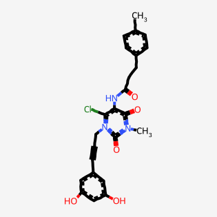 Cc1ccc(CCC(=O)Nc2c(Cl)n(CC#Cc3cc(O)cc(O)c3)c(=O)n(C)c2=O)cc1